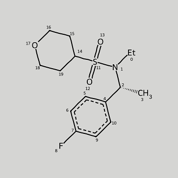 CCN([C@H](C)c1ccc(F)cc1)S(=O)(=O)C1CCOCC1